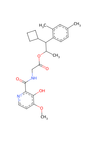 COc1ccnc(C(=O)NCC(=O)OC(C)C(c2ccc(C)cc2C)C2CCC2)c1O